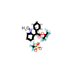 C[n+]1c2ccccc2c(C(=O)OC(F)(C(F)F)C(F)(F)F)c2ccccc21.O=S(=O)([O-])C(F)(F)F